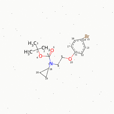 CC(C)(C)OC(=O)N(CCOc1ccc(Br)cc1)C1CC1